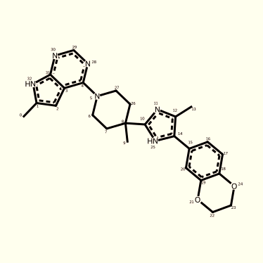 Cc1cc2c(N3CCC(C)(c4nc(C)c(-c5ccc6c(c5)OCCO6)[nH]4)CC3)ncnc2[nH]1